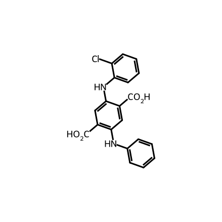 O=C(O)c1cc(Nc2ccccc2Cl)c(C(=O)O)cc1Nc1ccccc1